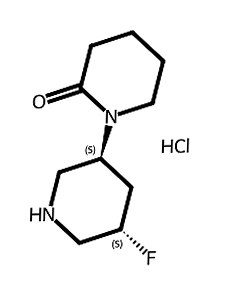 Cl.O=C1CCCCN1[C@@H]1CNC[C@@H](F)C1